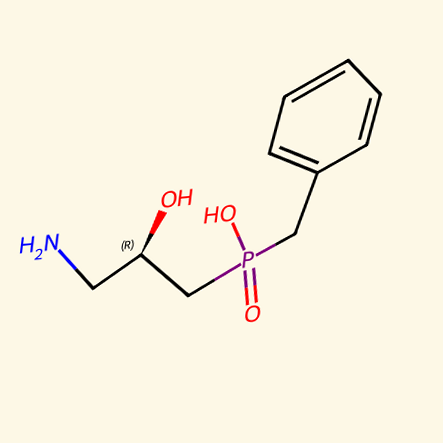 NC[C@@H](O)CP(=O)(O)Cc1ccccc1